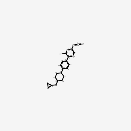 Fc1nc(N=C=S)cnc1-c1ccc(C2CCC(CC3CC3)CC2)cc1